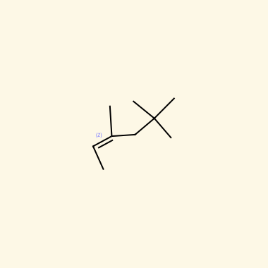 C/C=C(/C)CC(C)(C)C